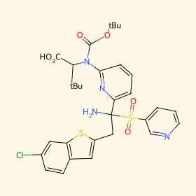 CC(C)(C)OC(=O)N(c1cccc(C(N)(Cc2cc3ccc(Cl)cc3s2)S(=O)(=O)c2cccnc2)n1)C(C(=O)O)C(C)(C)C